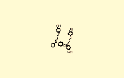 Oc1ccc(CCCCC(c2ccccc2)c2ccc(O)cc2)cc1.Oc1ccc(CCCCc2ccc(O)cc2)cc1